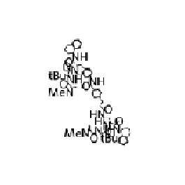 CN[C@@H](C)C(=O)N[C@H](C(=O)N1Cc2cc(NC(=O)c3ccc(CCC(=O)N[C@H]4C[C@@H](C(=O)N[C@@H]5CCCc6ccccc65)N(C(=O)[C@@H](NC(=O)[C@H](C)NC)C(C)(C)C)C4)cc3)ccc2C[C@H]1C(=O)N[C@@H]1CCCc2ccccc21)C(C)(C)C